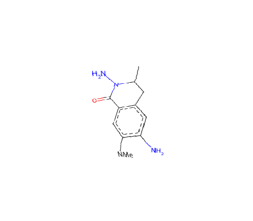 CNc1cc2c(cc1N)CC(C)N(N)C2=O